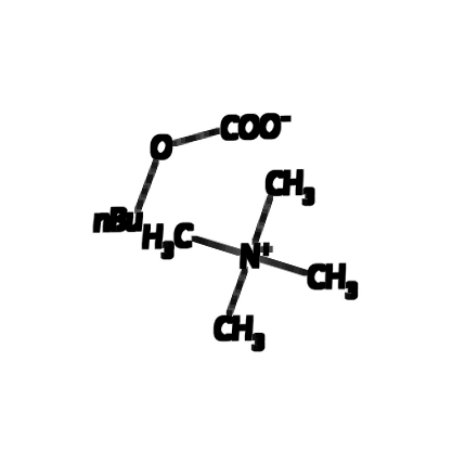 CCCCOC(=O)[O-].C[N+](C)(C)C